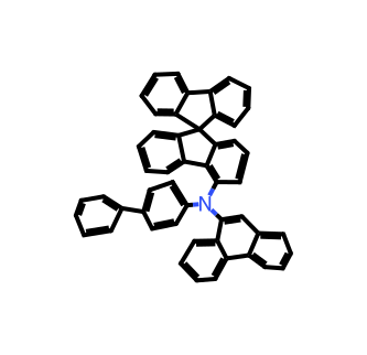 c1ccc(-c2ccc(N(c3cccc4c3-c3ccccc3C43c4ccccc4-c4ccccc43)c3cc4ccccc4c4ccccc34)cc2)cc1